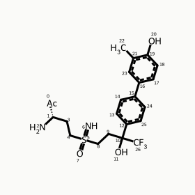 CC(=O)[C@@H](N)CCS(=N)(=O)CCC(O)(c1ccc(-c2ccc(O)c(C)c2)cc1)C(F)(F)F